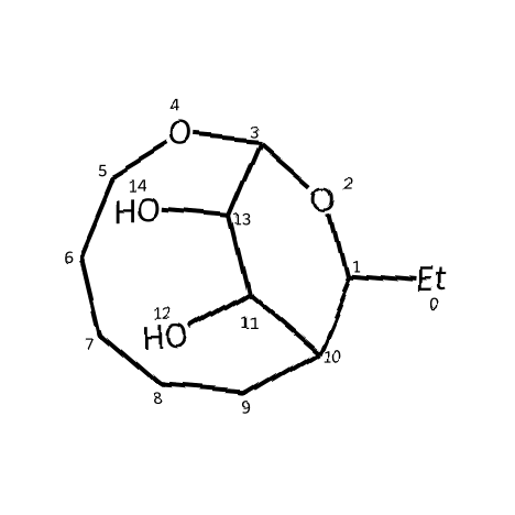 CCC1OC2OCCCCCC1C(O)C2O